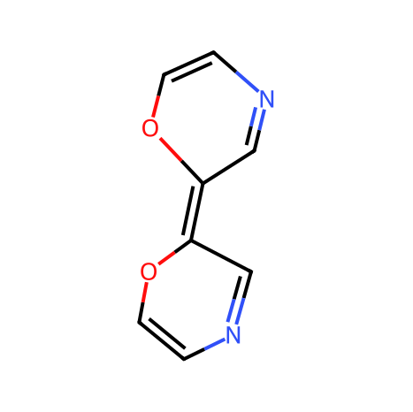 C1=COC(=C2C=NC=CO2)C=N1